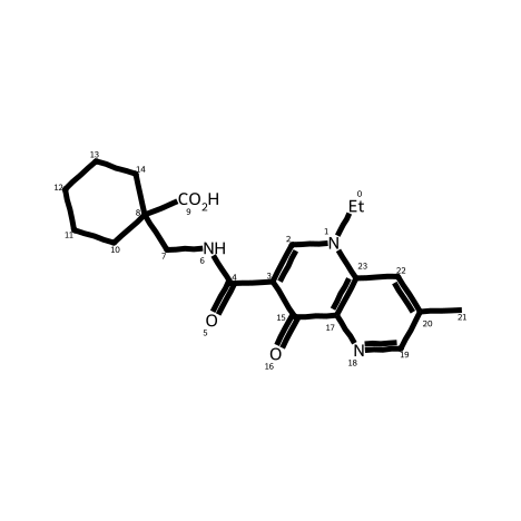 CCn1cc(C(=O)NCC2(C(=O)O)CCCCC2)c(=O)c2ncc(C)cc21